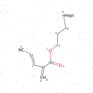 C=C(C=CC#N)C(=O)OCCCCCCCCCC